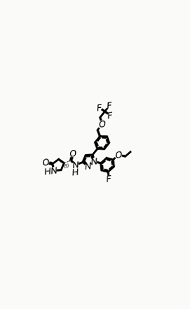 CCOc1cc(F)cc(-n2nc(NC(=O)[C@@H]3CNC(=O)C3)cc2-c2cccc(COCC(F)(F)F)c2)c1